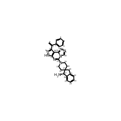 C=C(c1ccccc1)c1n[nH]c2nc(N3CCC4(CC3)Cc3ccccc3[C@H]4N)n3cnnc3c12